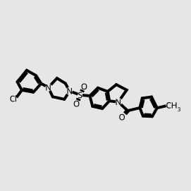 Cc1ccc(C(=O)N2CCc3cc(S(=O)(=O)N4CCN(c5cccc(Cl)c5)CC4)ccc32)cc1